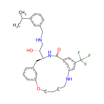 CC(C)c1cccc(CNC[C@@H](O)[C@@H]2Cc3cccc(c3)OCCCCNc3cc(cc(C(F)(F)F)c3)C(=O)N2)c1